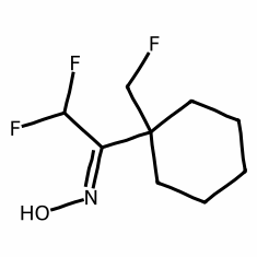 ON=C(C(F)F)C1(CF)CCCCC1